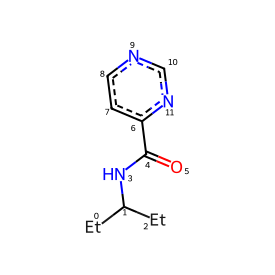 CCC(CC)NC(=O)c1ccncn1